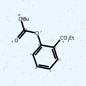 CCOC(=O)c1ccccc1OC(=O)OCC(C)C